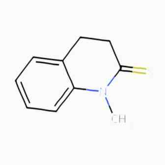 CN1C(=S)CCc2c[c]ccc21